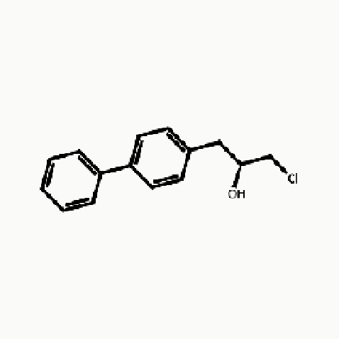 O[C@@H]([CH]c1ccc(-c2ccccc2)cc1)CCl